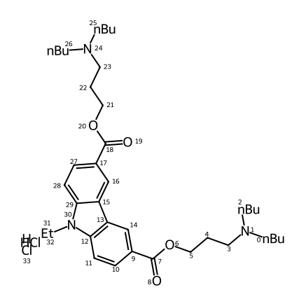 CCCCN(CCCC)CCCOC(=O)c1ccc2c(c1)c1cc(C(=O)OCCCN(CCCC)CCCC)ccc1n2CC.Cl.Cl